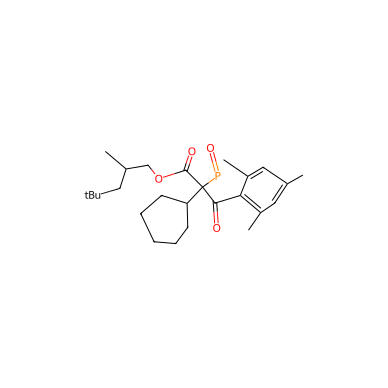 Cc1cc(C)c(C(=O)C(P=O)(C(=O)OCC(C)CC(C)(C)C)C2CCCCC2)c(C)c1